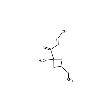 CCC1CC(C)(C(=O)C=CO)C1